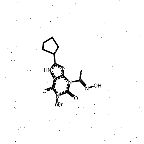 CCCn1c(=O)c2[nH]c(C3CCCC3)nc2n(/C(C)=N/O)c1=O